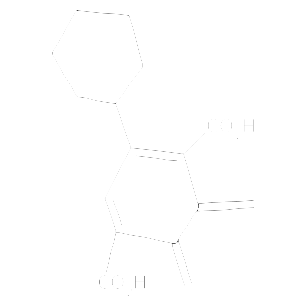 C=c1c(C(=O)O)cc(C2CCCCC2)c(C(=O)O)c1=C